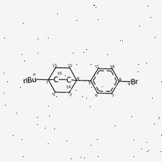 CCCCC12CCC(c3ccc(Br)cc3)(CC1)CC2